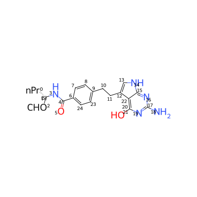 CCC[C@@H](C=O)NC(=O)c1ccc(CCc2c[nH]c3nc(N)nc(O)c23)cc1